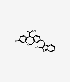 CCCc1nc2ccccn2c1Cc1ccc2c(c1)COc1cc(F)ccc1/C2=C(\C)C#N